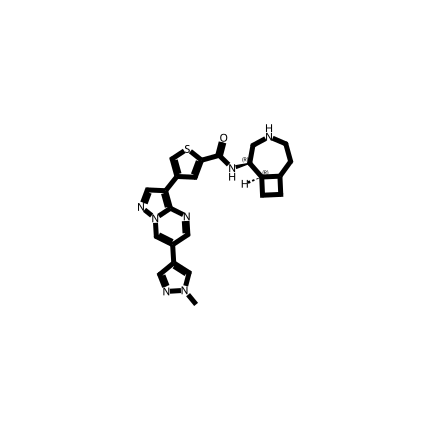 Cn1cc(-c2cnc3c(-c4csc(C(=O)N[C@H]5CNCCC6CC[C@H]65)c4)cnn3c2)cn1